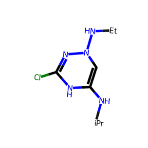 CCNN1C=C(NC(C)C)NC(Cl)=N1